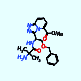 COC(=O)c1cccc2nnc([C@@H](COCc3ccccc3)NC(=O)C(C)(C)N)n12